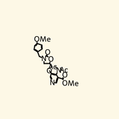 COC(=O)c1cncc(OCC2CN(Cc3ccc(OC)cc3)C(=O)O2)c1N(C(C)=O)C(C)=O